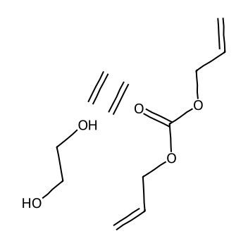 C=C.C=C.C=CCOC(=O)OCC=C.OCCO